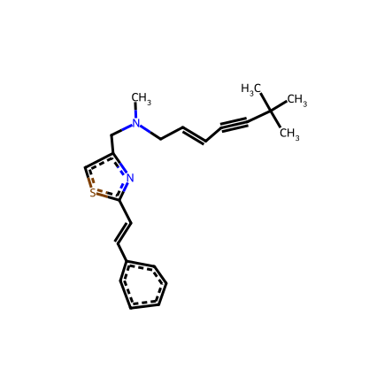 CN(CC=CC#CC(C)(C)C)Cc1csc(C=Cc2ccccc2)n1